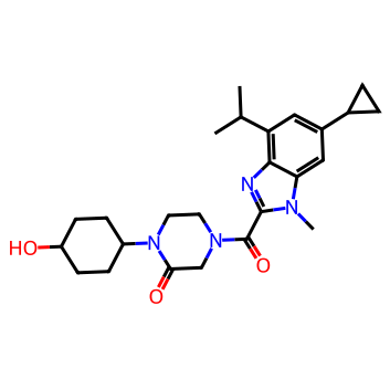 CC(C)c1cc(C2CC2)cc2c1nc(C(=O)N1CCN(C3CCC(O)CC3)C(=O)C1)n2C